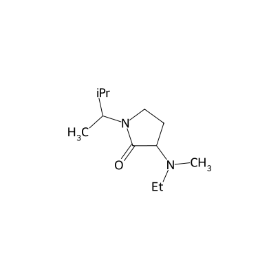 CCN(C)C1CCN(C(C)C(C)C)C1=O